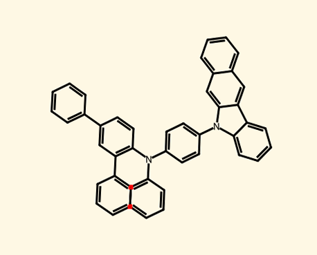 c1ccc(-c2ccc(N(c3ccccc3)c3ccc(-n4c5ccccc5c5cc6ccccc6cc54)cc3)c(-c3ccccc3)c2)cc1